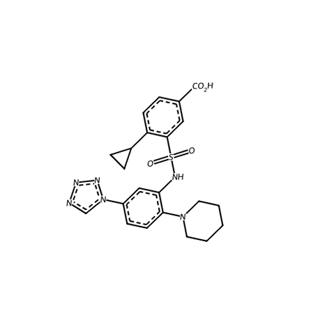 O=C(O)c1ccc(C2CC2)c(S(=O)(=O)Nc2cc(-n3cnnn3)ccc2N2CCCCC2)c1